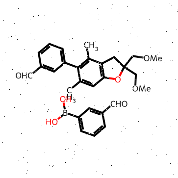 COCC1(COC)Cc2c(cc(C)c(-c3cccc(C=O)c3)c2C)O1.O=Cc1cccc(B(O)O)c1